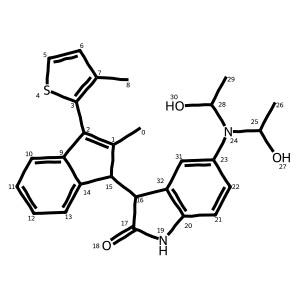 CC1=C(c2sccc2C)c2ccccc2C1C1C(=O)Nc2ccc(N(C(C)O)C(C)O)cc21